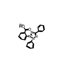 O=C(O)c1ccccc1-[n+]1nc(-c2ccccc2)nn1-c1ccccc1.[Br-]